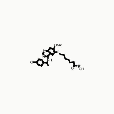 COc1cc2ncnc(NC(C)c3ccc(Cl)cc3)c2cc1OCCCCCCC(=O)NO